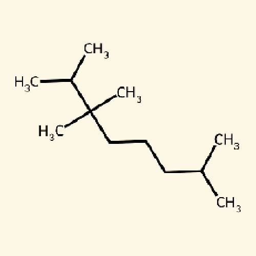 CC(C)CCCC(C)(C)C(C)C